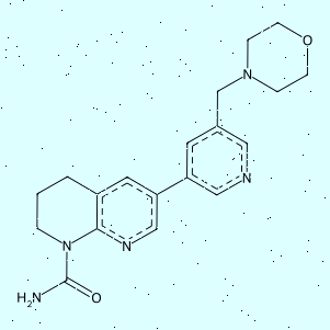 NC(=O)N1CCCc2cc(-c3cncc(CN4CCOCC4)c3)cnc21